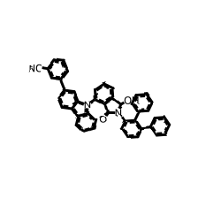 N#Cc1cccc(-c2ccc3c4ccccc4n(-c4cccc5c4C(=O)N(c4cccc(-c6ccccc6)c4-c4ccccc4)C5O)c3c2)c1